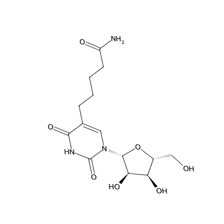 NC(=O)CCCCc1cn([C@@H]2O[C@H](CO)[C@@H](O)[C@H]2O)c(=O)[nH]c1=O